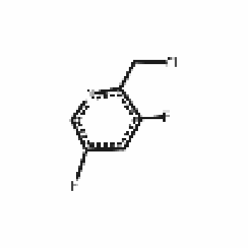 Fc1cnc(CCl)c(F)c1